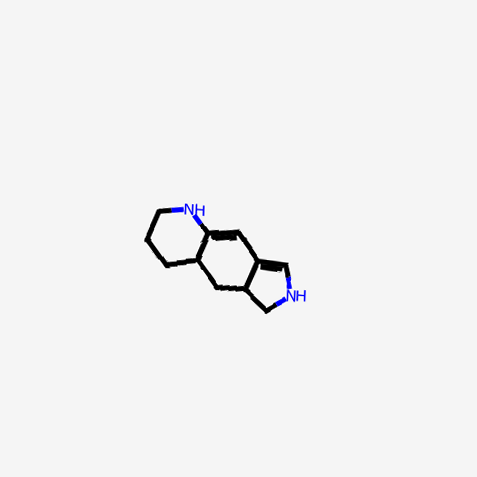 C1=C2C=C3NCCCC3CC2CN1